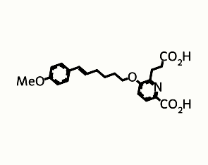 COc1ccc(/C=C/CCCCOc2ccc(C(=O)O)nc2CCC(=O)O)cc1